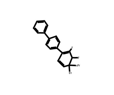 CCCC1(CC)C=CC(c2ccc(-c3ccccc3)cc2)=C(F)C1F